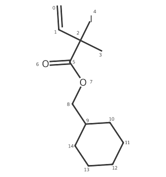 C=CC(C)(I)C(=O)OCC1CCCCC1